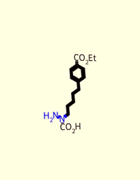 CCOC(=O)c1ccc(CCCCCN(N)C(=O)O)cc1